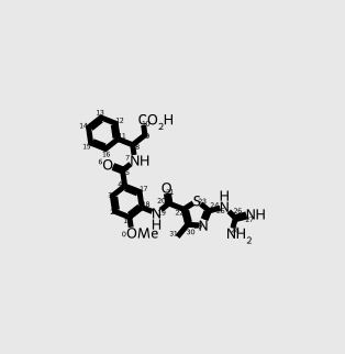 COc1ccc(C(=O)NC(CC(=O)O)c2ccccc2)cc1NC(=O)c1sc(NC(=N)N)nc1C